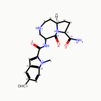 Cn1c(C(=O)NC2CNCC[C@H]3CCC(C(N)=O)N3C2=O)cc2cc(C=O)ccc21